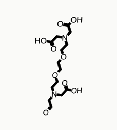 O=CCN(CCOCCOCCN(CC(=O)O)CC(=O)O)CC(=O)O